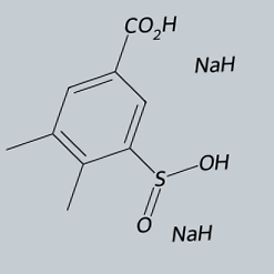 Cc1cc(C(=O)O)cc(S(=O)O)c1C.[NaH].[NaH]